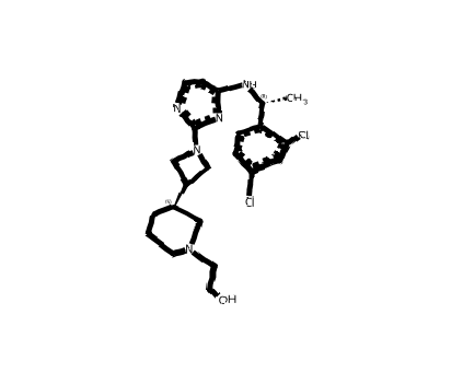 C[C@@H](Nc1ccnc(N2CC([C@@H]3CCCN(CCO)C3)C2)n1)c1ccc(Cl)cc1Cl